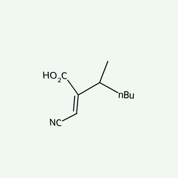 CCCCC(C)/C(=C/C#N)C(=O)O